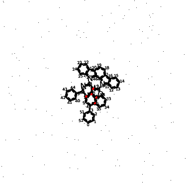 c1ccc(-c2ccc3nc(-n4c5ccccc5c5ccc6c7ccccc7n(-c7nc(-c8ccccc8)nc(-c8ccccc8)n7)c6c54)oc3c2)cc1